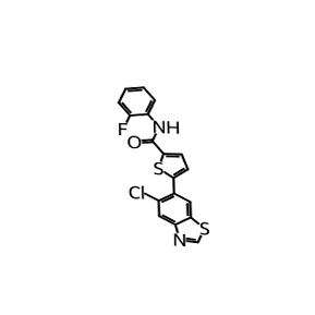 O=C(Nc1ccccc1F)c1ccc(-c2cc3scnc3cc2Cl)s1